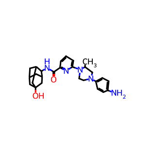 CC1CN(c2ccc(N)cc2)CCN1c1cccc(C(=O)NC2C3CC4CC2CC(O)(C4)C3)n1